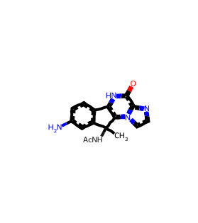 CC(=O)NC1(C)c2cc(N)ccc2-c2[nH]c(=O)c3nccn3c21